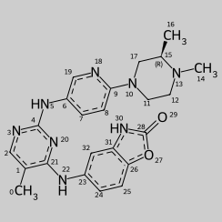 Cc1cnc(Nc2ccc(N3CCN(C)[C@H](C)C3)nc2)nc1Nc1ccc2oc(=O)[nH]c2c1